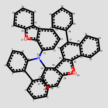 c1ccc(-c2ccccc2N(c2cccc3c2oc2ccccc23)c2cccc3oc4c5ccccc5c(-c5ccccc5)cc4c23)cc1